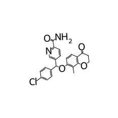 Cc1c(OC(c2ccc(Cl)cc2)c2ccc(C(N)=O)nc2)ccc2c1OCCC2=O